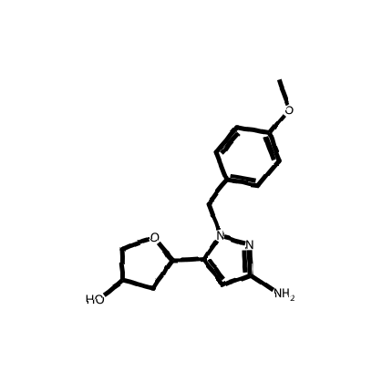 COc1ccc(Cn2nc(N)cc2C2CC(O)CO2)cc1